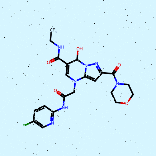 O=C(CN1C=C(C(=O)NCC(F)(F)F)C(O)n2nc(C(=O)N3CCOCC3)cc21)Nc1ccc(F)cn1